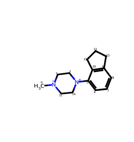 CN1CCN(c2cccc3c2C[CH]C3)CC1